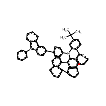 CC(C)(C)c1ccc(-c2ccccc2)c(N(c2ccc(-c3ccc4c(c3)c3ccccc3n4-c3ccccc3)cc2)c2ccccc2-c2cccc3cccc(-c4ccccc4)c23)c1